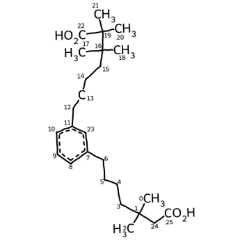 CC(C)(CCCCc1cccc(CCCCC(C)(C)C(C)(C)C(=O)O)c1)CC(=O)O